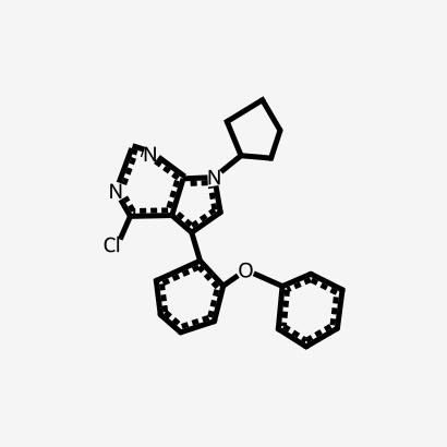 Clc1ncnc2c1c(-c1ccccc1Oc1ccccc1)cn2C1CCCC1